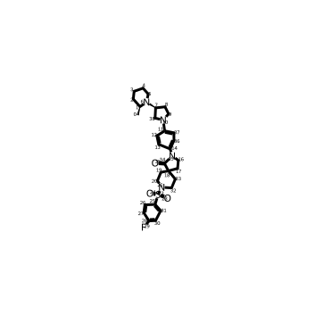 C[C@H]1CCCCN1[C@H]1CCN(c2ccc(N3CCC4(CCN(S(=O)(=O)c5ccc(F)cc5)CC4)C3=O)cc2)C1